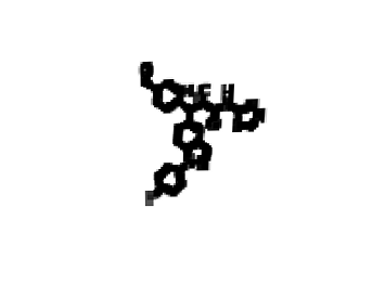 CC(C(=O)Nc1nncs1)C(c1ccc(C=O)cc1)c1ccc2c(cnn2-c2ccc(F)cc2)c1